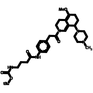 COC1=C2CCN(C(=O)Cc3ccc(NC(=O)CCCNC(=O)OC(C)(C)C)cc3)C=C2C(N2CCN(C)CC2)CC1